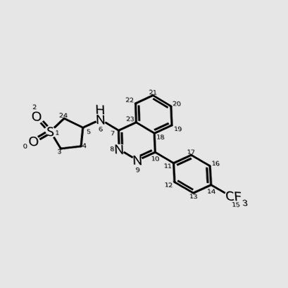 O=S1(=O)CCC(Nc2nnc(-c3ccc(C(F)(F)F)cc3)c3ccccc23)C1